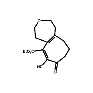 CCOC(=O)/C1=C(\C#N)C(=O)CCCC2=C1CCOCC2